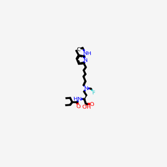 CCC(CC)C(=O)N[C@@H](CCN(CF)CCCCCCc1ccc2c(n1)NCCC2)C(=O)O